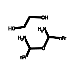 CCCC(N)OC(N)CCC.OCCO